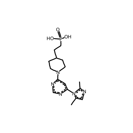 Cc1cnc(C)n1-c1cc(N2CCC(CCP(=O)(O)O)CC2)ncn1